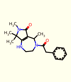 CC1C2=C(NCCN1C(=O)Cc1ccccc1)C(C)(C)N(C)C2=O